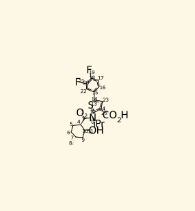 CC(C)N(C(=O)[C@@H]1CC[C@@H](C)C[C@@H]1O)c1sc(-c2ccc(F)c(F)c2)cc1C(=O)O